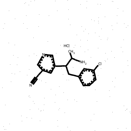 CC(N)C(Cc1cccc(Cl)c1)c1cncc(C#N)c1.Cl